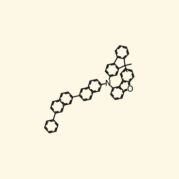 CC1(C)c2ccccc2-c2ccc(N(c3ccc4cc(-c5ccc6ccc(-c7ccccc7)cc6c5)ccc4c3)c3cccc4oc5ccccc5c34)cc21